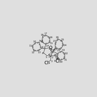 ClC[Si]1(CCl)CCC(c2ccccc2)(c2ccccc2)O[Si]1(c1ccccc1)c1ccccc1